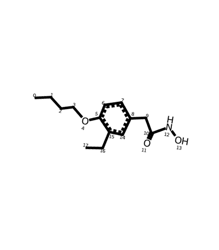 CCCCOc1ccc(CC(=O)NO)cc1CC